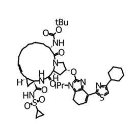 CC(C)n1c(O[C@@H]2C[C@H]3C(=O)N[C@]4(C(=O)NS(=O)(=O)C5CC5)C[C@H]4/C=C\CCCCC[C@H](NC(=O)OC(C)(C)C)C(=O)N3C2)nc2c1CCC=C2c1nc(C2CCCCC2)cs1